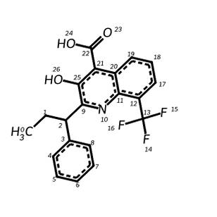 CCC(c1ccccc1)c1nc2c(C(F)(F)F)cccc2c(C(=O)O)c1O